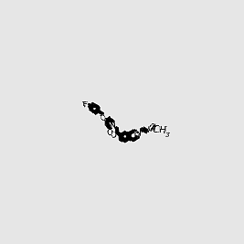 COCCN1CCc2ccc(C(=O)Cn3ccc(OCc4ccc(F)cc4)cc3=O)cc2C1